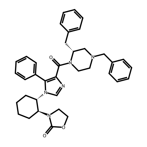 O=C(c1ncn([C@H]2CCCC[C@@H]2N2CCOC2=O)c1-c1ccccc1)N1CCN(Cc2ccccc2)C[C@H]1Cc1ccccc1